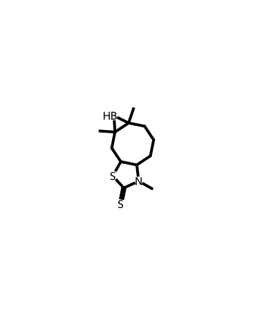 CN1C(=S)SC2CC3(C)BC3(C)CCCC21